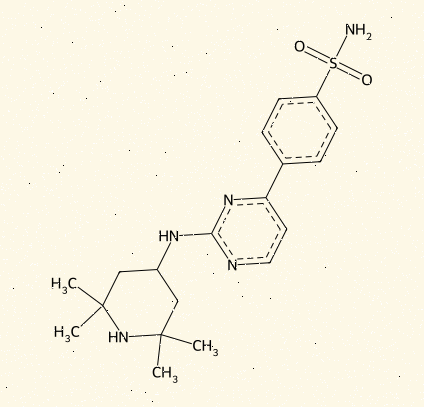 CC1(C)CC(Nc2nccc(-c3ccc(S(N)(=O)=O)cc3)n2)CC(C)(C)N1